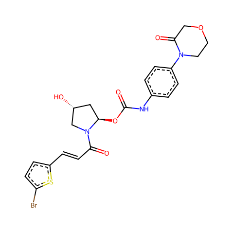 O=C(Nc1ccc(N2CCOCC2=O)cc1)O[C@@H]1C[C@@H](O)CN1C(=O)/C=C/c1ccc(Br)s1